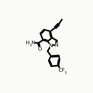 CC#Cc1ccc(C(N)=O)c2c1cnn2Cc1ccc(C(F)(F)F)cc1